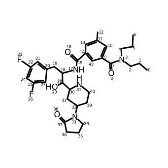 CCCN(CCC)C(=O)c1cc(C)cc(C(=O)NC(Cc2cc(F)cc(F)c2)C(O)C2CC(N3CCCC3=O)CCN2)c1